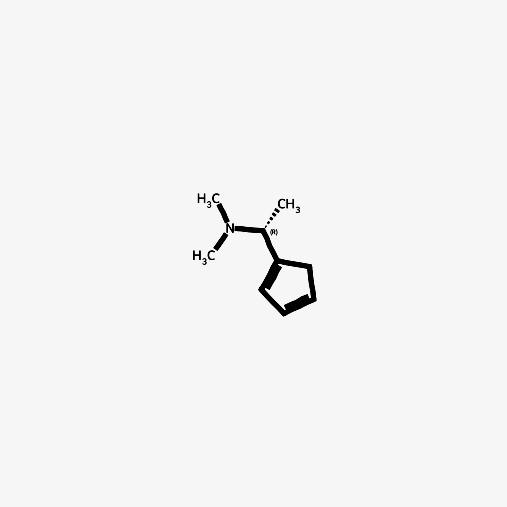 C[C@H](C1=CC=CC1)N(C)C